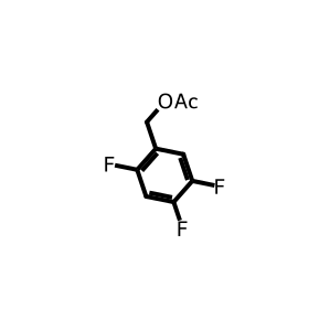 CC(=O)OCc1cc(F)c(F)cc1F